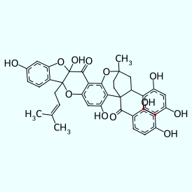 CC(C)=CCC12Oc3cc(O)c4c(c3C(=O)C1(O)Oc1cc(O)ccc12)OC1(C)CCC4(C(=O)c2ccc(O)cc2O)C(c2ccc(O)cc2O)C1